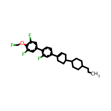 CCCC1CCC(C2CC=C(c3ccc(-c4cc(F)c(OCF)c(F)c4)c(F)c3)CC2)CC1